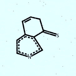 S=C1CC=Cc2ccncc21